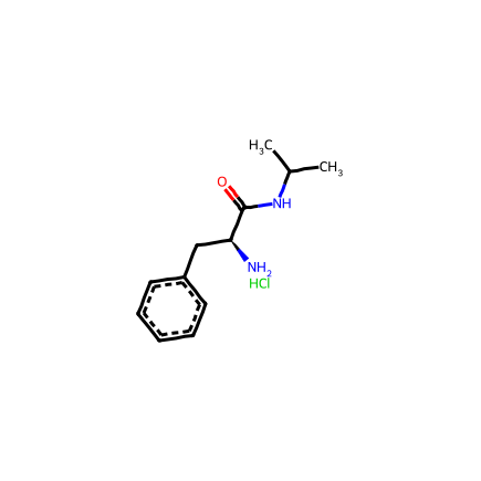 CC(C)NC(=O)[C@@H](N)Cc1ccccc1.Cl